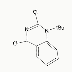 CC(C)(C)N1C(Cl)=NC(Cl)c2ccccc21